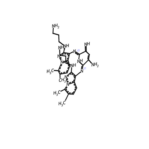 Cc1ccc2c(/N=C3\N/C(=N\c4c(NCCCN)nn5c(C)c(C)ccc45)C(N)=CC3=N)c(NCCCN)nn2c1C